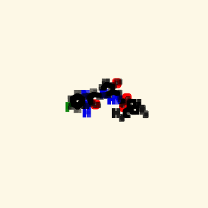 CC(C)(C)OC(=O)NCC1CN(CCc2nc3ccc(F)cc3[nH]c2=O)CCC1=O